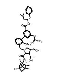 COc1c(CN2O[C@@H](CO)[C@@H]([C@H](C)O)[C@H]2C(=O)N[C@H]2C[C@H]3C[C@@H]([C@@H]2C)C3(C)C)cccc1-c1cc(NC(=N)N)cc(C(=O)N[C@@H](Cc2ccccc2)CN(C)C)c1